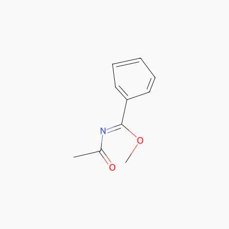 COC(=NC(C)=O)c1ccccc1